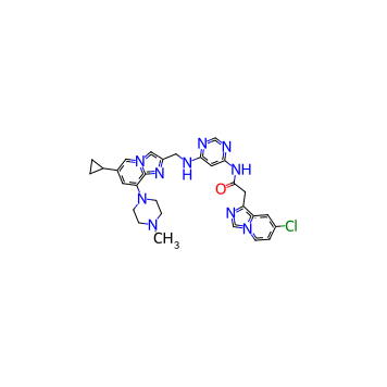 CN1CCN(c2cc(C3CC3)cn3cc(CNc4cc(NC(=O)Cc5ncn6ccc(Cl)cc56)ncn4)nc23)CC1